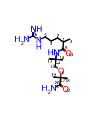 CC(CCCNC(=N)N)C(=O)NC(C)(C)COC(C)(C)C(N)=O